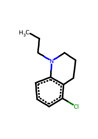 CCCN1CCCc2c(Cl)cccc21